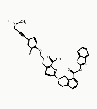 CN(C)CC#Cc1ccc(OCCCc2ccc(N3CCc4cccc(C(=O)Nc5nc6ccccc6s5)c4C3)nc2C(=O)O)c(F)c1